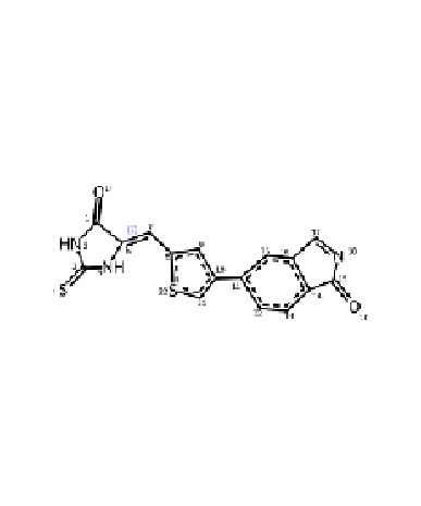 O=C1NC(=S)N/C1=C\c1cc(-c2ccc3c(c2)C=NC3=O)cs1